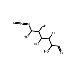 [N-]=[N+]=NC(O)C(O)C(O)C(O)C(O)C=O